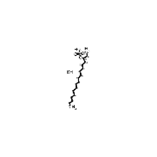 CCCCCCCCCCCCCCCC(CC)OP(=O)(O)O.[KH]